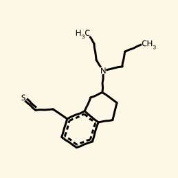 CCCN(CCC)C1CCc2cccc(CC=S)c2C1